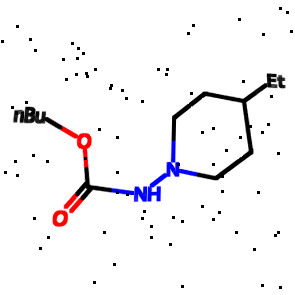 CCCCOC(=O)NN1CCC(CC)CC1